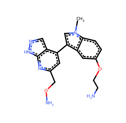 Cn1cc(-c2cc(CON)nc3[nH]ncc23)c2cc(OCCN)ccc21